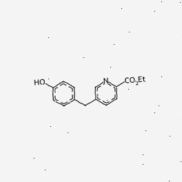 CCOC(=O)c1ccc(Cc2ccc(O)cc2)cn1